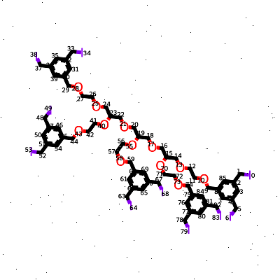 ICc1cc(CI)cc(COCCOCC(COCC(COCC(COCCOCc2cc(CI)cc(CI)c2)OCCOCc2cc(CI)cc(CI)c2)OCCOCc2cc(CI)cc(CI)c2)OCCOCc2cc(CI)cc(CI)c2)c1